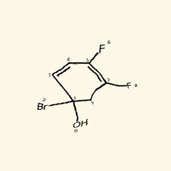 OC1(Br)C=CC(F)=C(F)C1